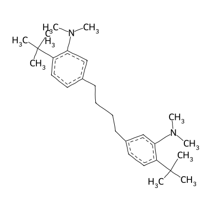 CN(C)c1cc(CCCCc2ccc(C(C)(C)C)c(N(C)C)c2)ccc1C(C)(C)C